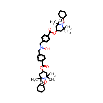 CC1(C)CC(OC(=O)c2ccc(CN(O)Cc3ccc(C(=O)OC4CC(C)(C)N(OC5CCCCC5)C(C)(C)C4)cc3)cc2)CC(C)(C)N1OC1CCCCC1